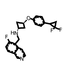 Fc1ccc2cnccc2c1CN[C@H]1C[C@H](Oc2ccc(C3CC3(F)F)cc2)C1